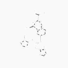 Cn1ccnc1CN(Cc1ccc2nc(C(=O)O)[nH]c(=O)c2c1)Cc1ncc[nH]1